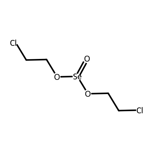 O=[Se](OCCCl)OCCCl